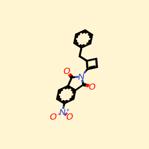 O=C1c2ccc([N+](=O)[O-])cc2C(=O)N1C1=CCC1Cc1ccccc1